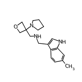 Cc1ccc2c(CNCC3(N4CCCC4)COC3)c[nH]c2c1